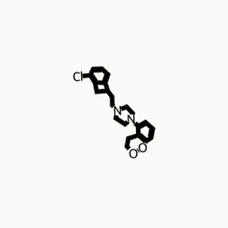 Clc1cccc2c1CC2CCN1CCN(c2cccc3c2CCOO3)CC1